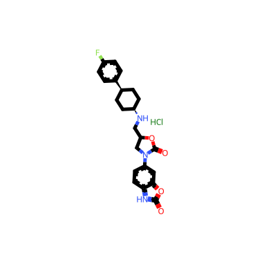 Cl.O=C1OC(CN[C@H]2CC[C@H](c3ccc(F)cc3)CC2)CN1c1ccc2[nH]c(=O)oc2c1